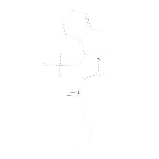 C=CCSC(=O)n1[nH]c(=O)c(-c2ccccc2C)c1C(C)(C)N